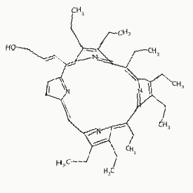 CCC1=C(CC)C2=C(CC)C3=NC(=C(CC)C4=NC(=C(C=CCO)C5=NC(=CC1=N2)C=C5)C(CC)=C4CC)C(CC)=C3CC